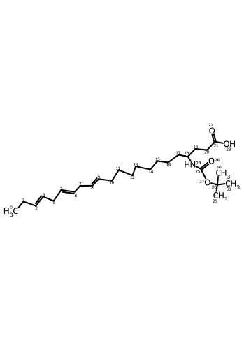 CCC=CCC=CCC=CCCCCCCCCC(CCC(=O)O)NC(=O)OC(C)(C)C